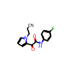 N#CCCn1cccc1C(=O)C(=O)Nc1ccc(F)cc1